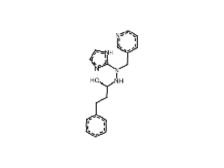 OC(CCc1ccccc1)NN(Cc1cccnc1)c1ncc[nH]1